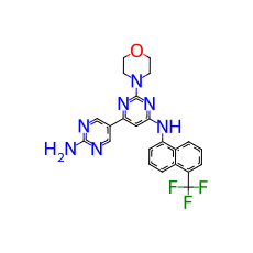 Nc1ncc(-c2cc(Nc3cccc4c(C(F)(F)F)cccc34)nc(N3CCOCC3)n2)cn1